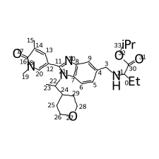 CCC(NCc1ccc2c(c1)nc(-c1cc(C)c(=O)n(C)c1)n2C(C)C1CCOCC1)C(=O)OC(C)C